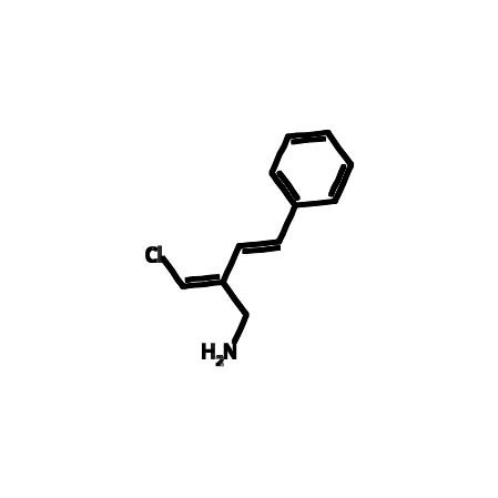 NCC(/C=C/c1ccccc1)=C/Cl